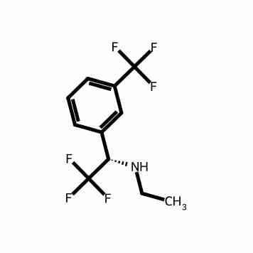 CCN[C@@H](c1cccc(C(F)(F)F)c1)C(F)(F)F